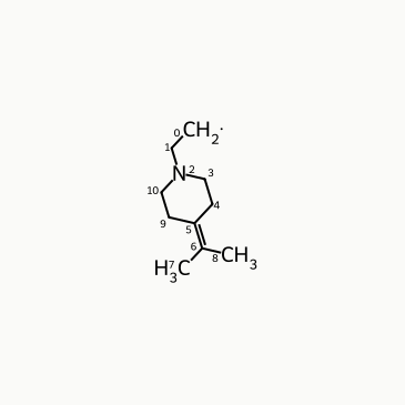 [CH2]CN1CCC(=C(C)C)CC1